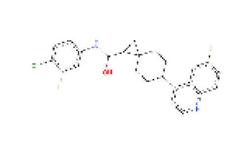 OC(Nc1ccc(Cl)c(F)c1)C1CC12CCC(c1ccnc3ccc(F)cc13)CC2